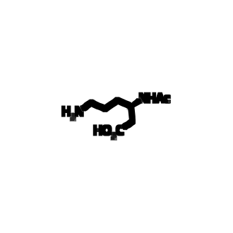 CC(=O)N[C@H](CCCN)CC(=O)O